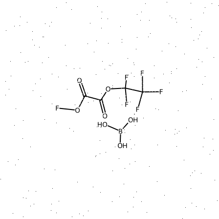 O=C(OF)C(=O)OC(F)(F)C(F)(F)F.OB(O)O